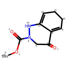 CC(C)(C)OC(=O)N1CC(=O)C2=CCCC=C2N1